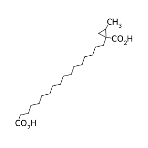 CC1CC1(CCCCCCCCCCCCCCCCC(=O)O)C(=O)O